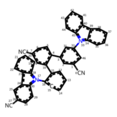 N#Cc1cc(-c2ccc(C#N)cc2-c2ccccc2-n2c3ccccc3c3cc(C#N)ccc32)cc(-n2c3ccccc3c3ccccc32)c1